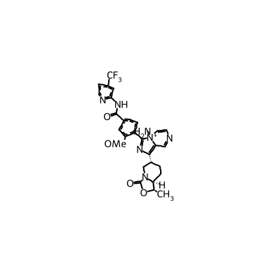 COc1cc(C(=O)Nc2cc(C(F)(F)F)ccn2)ccc1C1=NC([C@@H]2CC[C@H]3[C@@H](C)OC(=O)N3C2)=C2C=NC=C[N+]12N